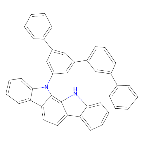 c1ccc(-c2cccc(-c3cc(-c4ccccc4)cc(-n4c5ccccc5c5ccc6c7ccccc7[nH]c6c54)c3)c2)cc1